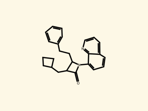 O=C1C(CC2CCC2)C(CCc2ccccc2)N1c1cccc2cccnc12